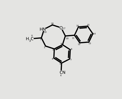 CC1Cc2cc(C#N)ccc2C(c2ccccc2)OCN1